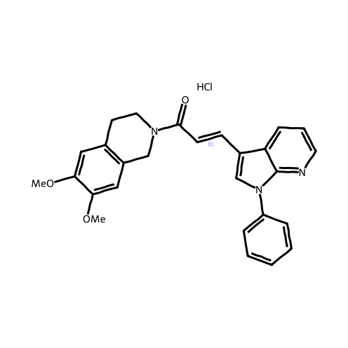 COc1cc2c(cc1OC)CN(C(=O)/C=C/c1cn(-c3ccccc3)c3ncccc13)CC2.Cl